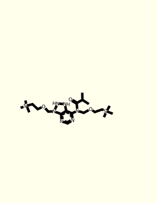 CC(C)C(=O)N(COCC[Si](C)(C)C)c1ncnc2c1NNN2COCC[Si](C)(C)C